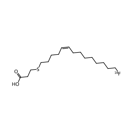 O=C(O)CCSCCCC/C=C\CCCCCCCC[18F]